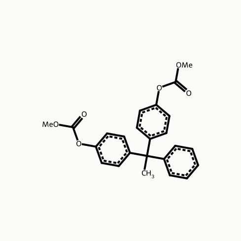 COC(=O)Oc1ccc(C(C)(c2ccccc2)c2ccc(OC(=O)OC)cc2)cc1